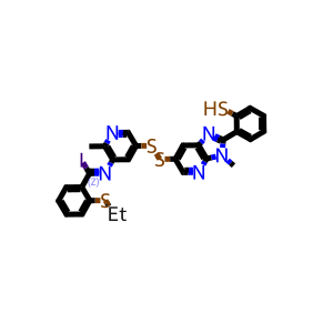 CCSc1ccccc1/C(I)=N/c1cc(SSc2cnc3c(c2)nc(-c2ccccc2S)n3C)cnc1C